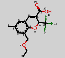 CCOCc1cc(C)cc2c1OC(C(F)(F)F)C(C(=O)O)=C2